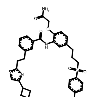 NC(=O)COc1ccc(CCCS(=O)(=O)c2ccc(Cl)cc2)cc1NC(=O)c1cccc(CCc2nc(C3CCC3)cs2)c1